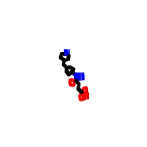 O=C(O)CCC(=O)Nc1ccc(Cc2ccncc2)cc1